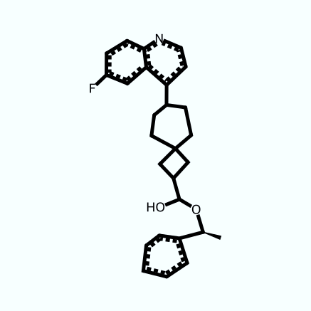 C[C@H](OC(O)C1CC2(CCC(c3ccnc4ccc(F)cc34)CC2)C1)c1ccccc1